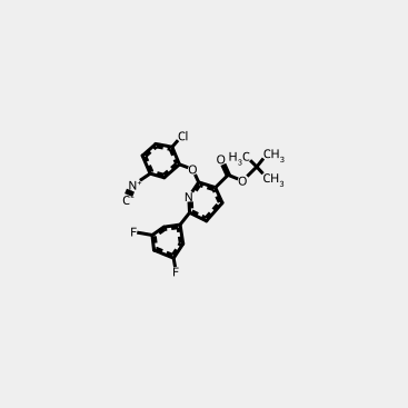 [C-]#[N+]c1ccc(Cl)c(Oc2nc(-c3cc(F)cc(F)c3)ccc2C(=O)OC(C)(C)C)c1